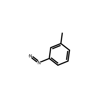 Cc1cccc(N=[N])c1